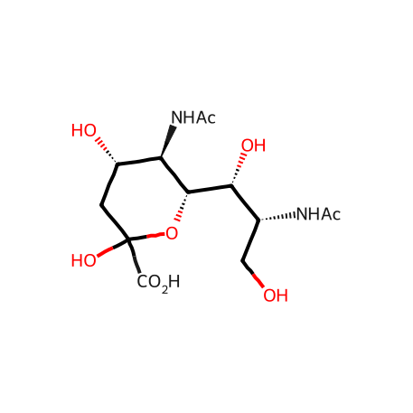 CC(=O)N[C@H]1[C@H]([C@H](O)[C@@H](CO)NC(C)=O)OC(O)(C(=O)O)C[C@@H]1O